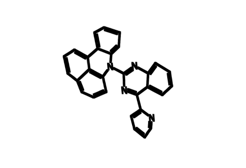 c1ccc(-c2nc(N3c4ccccc4-c4cccc5cccc3c45)nc3ccccc23)nc1